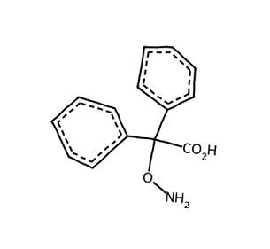 NOC(C(=O)O)(c1ccccc1)c1ccccc1